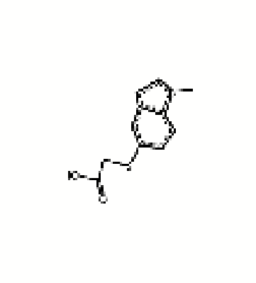 Cn1ccc2cc(SCC(=O)O)ccc21